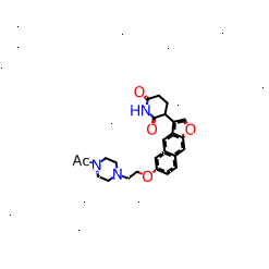 CC(=O)N1CCN(CCOc2ccc3cc4occ(C5CCC(=O)NC5=O)c4cc3c2)CC1